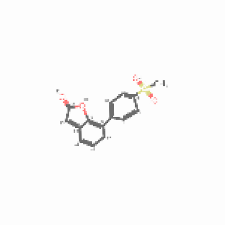 CS(=O)(=O)c1ccc(C2=C3OC(=O)C=C3C=CC2)cc1